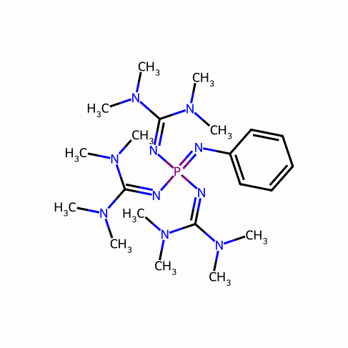 CN(C)C(=NP(N=C(N(C)C)N(C)C)(N=C(N(C)C)N(C)C)=Nc1ccccc1)N(C)C